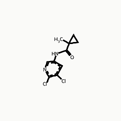 CC1(C(=O)Nc2cnc(Cl)c(Cl)c2)CC1